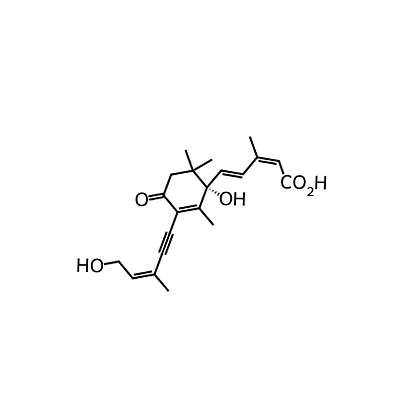 CC1=C(C#C/C(C)=C\CO)C(=O)CC(C)(C)[C@@]1(O)/C=C/C(C)=C\C(=O)O